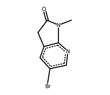 CN1C(=O)Cc2cc(Br)cnc21